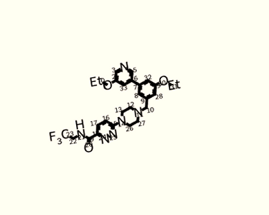 CCOc1cncc(-c2cc(CN3CCN(c4ccc(C(=O)NCC(F)(F)F)nn4)CC3)cc(OCC)c2)c1